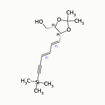 CC1(C)O[C@@H](CO)[C@@H](/C=C/C=C/C#C[Si](C)(C)C)O1